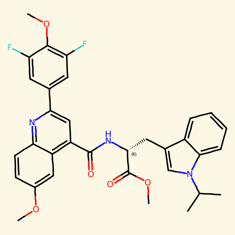 COC(=O)[C@@H](Cc1cn(C(C)C)c2ccccc12)NC(=O)c1cc(-c2cc(F)c(OC)c(F)c2)nc2ccc(OC)cc12